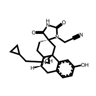 N#CCN1C(=O)NC(=O)[C@@]12CC[C@@]1(O)[C@H]3Cc4ccc(O)cc4[C@@]1(CCN3CC1CC1)C2